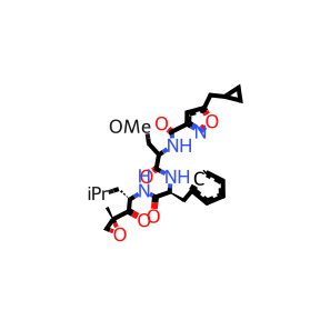 COCC(NC(=O)c1cc(CC2CC2)on1)C(=O)N[C@@H](Cc1ccccc1)C(=O)N[C@@H](CC(C)C)C(=O)[C@@]1(C)CO1